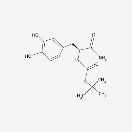 CC(C)(C)OC(=O)N[C@@H](Cc1ccc(O)c(O)c1)C(N)=O